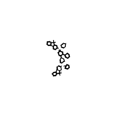 CC1(C)c2ccccc2-c2ccc(N(C3=CCCC=C3)c3ccc(C4C=CC(N(C5=CC=C6c7ccccc7C(C)(C)C6C5)c5ccccc5)=CC4)c(-c4ccccc4)c3)cc21